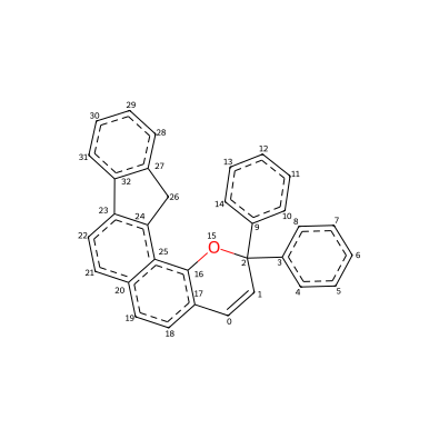 C1=CC(c2ccccc2)(c2ccccc2)Oc2c1ccc1ccc3c(c21)Cc1ccccc1-3